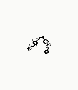 CC(C)(C)OC(=O)Cc1cc(F)c(OCCC2C[C@@H]2C2CCN(C(=O)OCc3ccccc3)CC2)cc1F